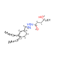 CCC(O)CCC(=O)NN=Cc1ccc(OC)c(OC)c1